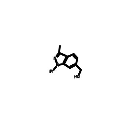 Cc1nn(C(C)C)c2cc(CO)ccc12